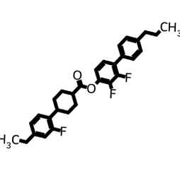 CCCc1ccc(-c2ccc(OC(=O)C3CCC(c4ccc(CC)cc4F)CC3)c(F)c2F)cc1